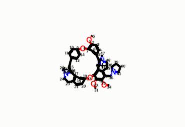 COc1ccc2cc1Oc1ccc(cc1)C[C@H]1c3cc(ccc3CCN1C)Oc1c(OC)c(OC)c(CN3CCCC3)c3c1[C@H](C2)N(C)CC3